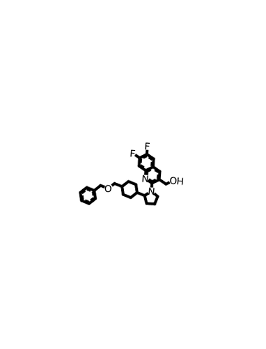 OCc1cc2cc(F)c(F)cc2nc1N1CCCC1C1CCC(COCc2ccccc2)CC1